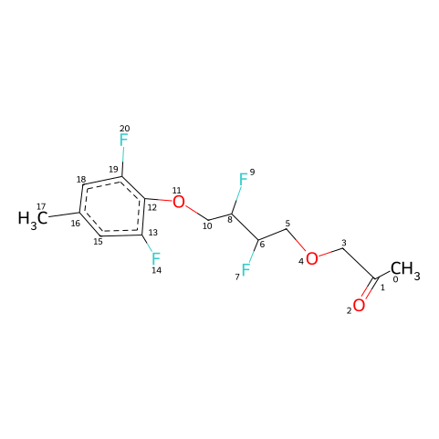 CC(=O)COCC(F)C(F)COc1c(F)cc(C)cc1F